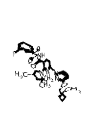 C[C@@H]1CN(c2nc(-n3ccc(OCC4(C)CCC4)n3)ccc2C(=O)NS(=O)(=O)c2cccc(F)c2)C(C)(C)C1